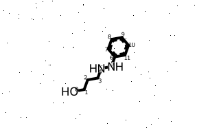 OCCCNNc1ccccc1